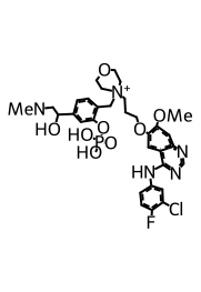 CNCC(O)c1ccc(C[N+]2(CCCOc3cc4c(Nc5ccc(F)c(Cl)c5)ncnc4cc3OC)CCOCC2)c(OP(=O)(O)O)c1